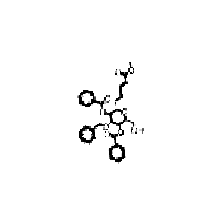 COC(=O)/C=C/CC[C@@H]1O[C@@H](CO)[C@@H](OC(=O)c2ccccc2)[C@H](OCc2ccccc2)[C@H]1OC(=O)c1ccccc1